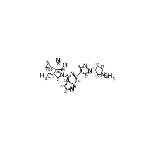 C[C@@H]1CN(c2nc(-c3cnn([C@@H]4CCN(C)C4)c3)cn3nccc23)C(=O)[C@]1(C#N)C1CC1